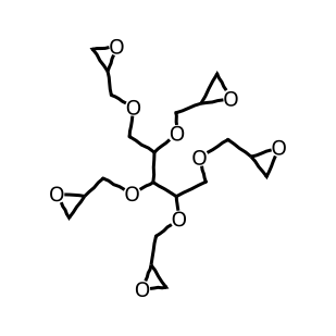 C(OCC(OCC1CO1)C(OCC1CO1)C(COCC1CO1)OCC1CO1)C1CO1